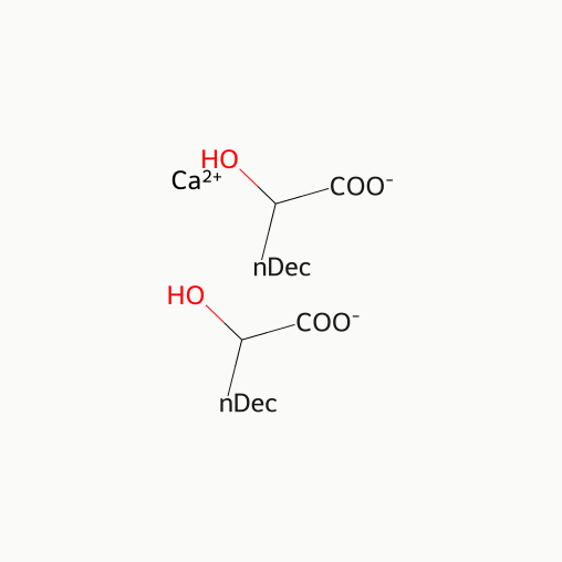 CCCCCCCCCCC(O)C(=O)[O-].CCCCCCCCCCC(O)C(=O)[O-].[Ca+2]